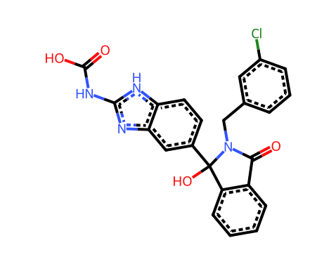 O=C(O)Nc1nc2cc(C3(O)c4ccccc4C(=O)N3Cc3cccc(Cl)c3)ccc2[nH]1